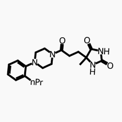 CCCc1ccccc1N1CCN(C(=O)CCC2(C)NC(=O)NC2=O)CC1